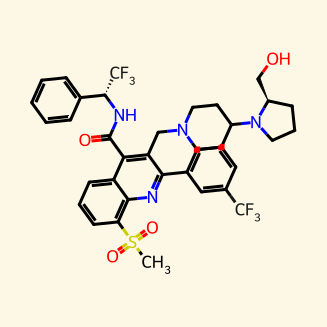 CS(=O)(=O)c1cccc2c(C(=O)N[C@H](c3ccccc3)C(F)(F)F)c(CN3CCC(N4CCC[C@@H]4CO)CC3)c(-c3cccc(C(F)(F)F)c3)nc12